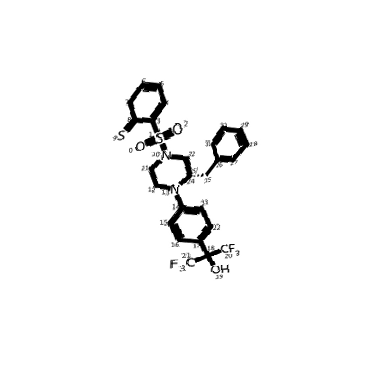 O=S(=O)(C1=CC=CCC1=S)N1CCN(c2ccc(C(O)(C(F)(F)F)C(F)(F)F)cc2)[C@@H](Cc2ccccc2)C1